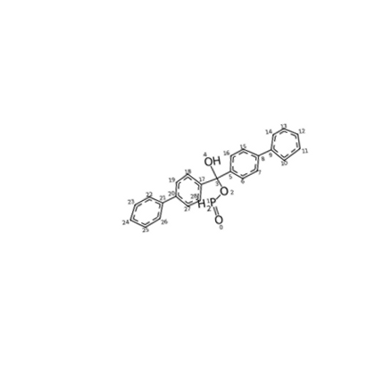 O=[PH2]OC(O)(c1ccc(-c2ccccc2)cc1)c1ccc(-c2ccccc2)cc1